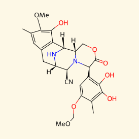 COCOc1cc([C@@H]2C(=O)OC[C@H]3[C@@H]4N[C@@H](Cc5cc(C)c(OC)c(O)c54)[C@H](C#N)N23)c(O)c(O)c1C